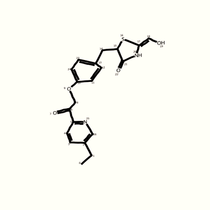 CCc1ccc(C(=O)COc2ccc(CC3S/C(=C/O)NC3=O)cc2)nc1